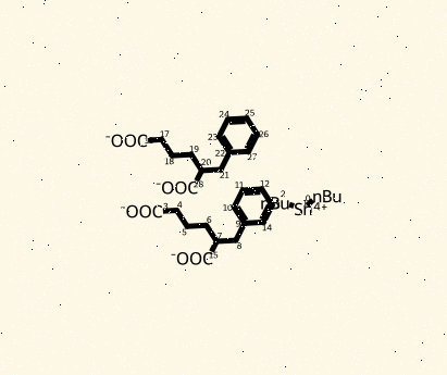 CCC[CH2][Sn+4][CH2]CCC.O=C([O-])CCCC(Cc1ccccc1)C(=O)[O-].O=C([O-])CCCC(Cc1ccccc1)C(=O)[O-]